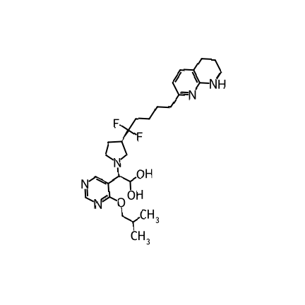 CC(C)COc1ncncc1C(C(O)O)N1CC[C@@H](C(F)(F)CCCCc2ccc3c(n2)NCCC3)C1